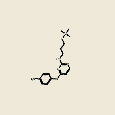 C[Si](C)(C)OCCCNc1nccc(Oc2ccc(N)cc2)n1